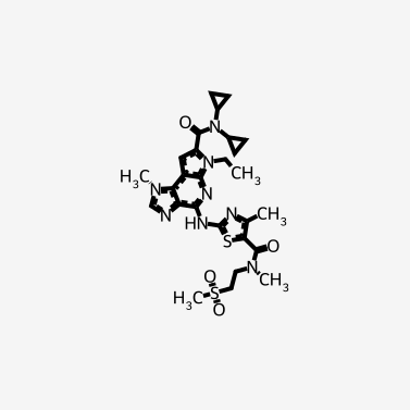 CCn1c(C(=O)N(C2CC2)C2CC2)cc2c3c(ncn3C)c(Nc3nc(C)c(C(=O)N(C)CCS(C)(=O)=O)s3)nc21